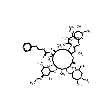 CON=C1C[C@@H](C)O[C@@H](O[C@@H]2[C@@H](C)[C@H](O[C@H]3C[C@H](C)N(C)C[C@H](C)O3)[C@@H](C)C(=O)O[C@H]([C@@H](C)CO[C@@H]3O[C@H](C)[C@@H](O)[C@@H](OC)[C@H]3OC)[C@H](C)[C@@H](OC(=O)CC(C)C)[C@@H](C)C(=O)[C@@](C)(OC(=O)NCCc3ccncc3)C[C@@H]2C)[C@@H]1O